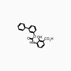 O=C(Nc1cccc(C(=O)O)c1O)Oc1cccc(-c2ccccc2)c1